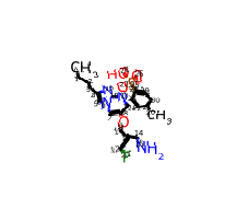 CCCCc1cn2cc(OC/C(=C/F)CN)cnc2n1.Cc1ccc(S(=O)(=O)O)cc1